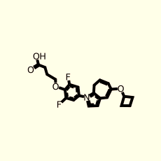 O=C(O)CCCOc1c(F)cc(-n2ccc3c2CC=CC(OC2CCC2)=C3)cc1F